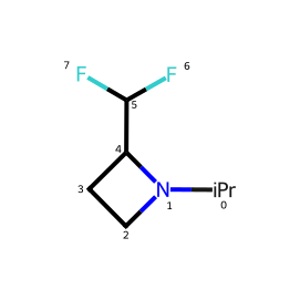 CC(C)N1CCC1C(F)F